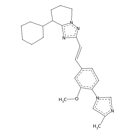 COc1cc(C=Cc2nc3n(n2)CCCC3C2CCCCC2)ccc1-n1cnc(C)c1